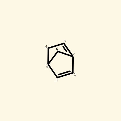 C1=CC2=CC[C]1C2